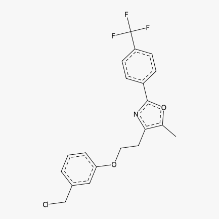 Cc1oc(-c2ccc(C(F)(F)F)cc2)nc1CCOc1cccc(CCl)c1